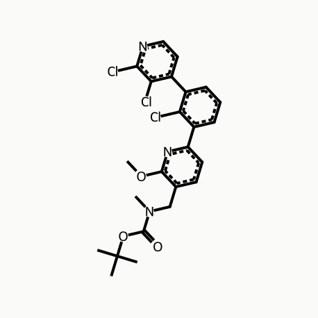 COc1nc(-c2cccc(-c3ccnc(Cl)c3Cl)c2Cl)ccc1CN(C)C(=O)OC(C)(C)C